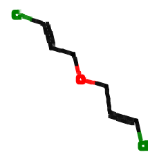 ClC=CCOCC=CCl